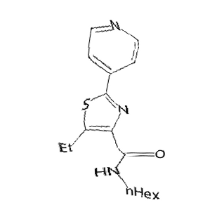 CCCCCCNC(=O)c1nc(-c2ccncc2)sc1CC